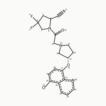 N#CC1CC(F)(F)CN1C(=O)CN1CC[C@H](Oc2ccc(Cl)c3cccnc23)C1